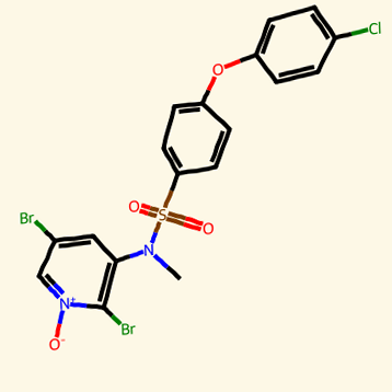 CN(c1cc(Br)c[n+]([O-])c1Br)S(=O)(=O)c1ccc(Oc2ccc(Cl)cc2)cc1